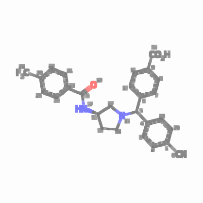 N#Cc1ccc(C(c2ccc(C(=O)O)cc2)N2CC[C@@H](NC(=O)c3ccc(C(F)(F)F)cc3)C2)cc1